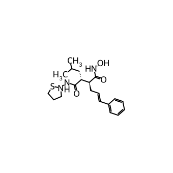 CC(C)C[C@@H](C(=O)NN1CCCS1)[C@H](CC=Cc1ccccc1)C(=O)NO